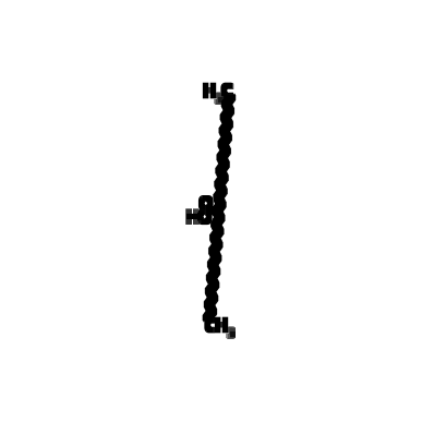 CCCCCCCCCCCCCCCCCCC(CCCCCCCCCCCCCCCCC)C(=O)O